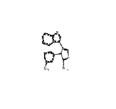 Cc1cccc(N2C(c3cnc4ccccn34)=CSC2N)c1